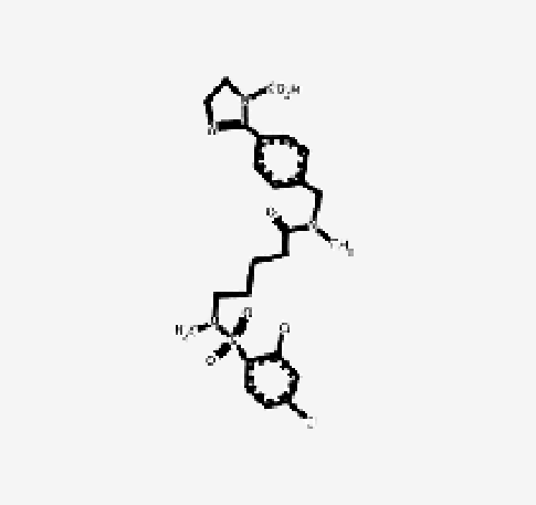 CN(Cc1ccc(C2=NCCN2C(=O)O)cc1)C(=O)CCCCN(C)S(=O)(=O)c1ccc(Cl)cc1Cl